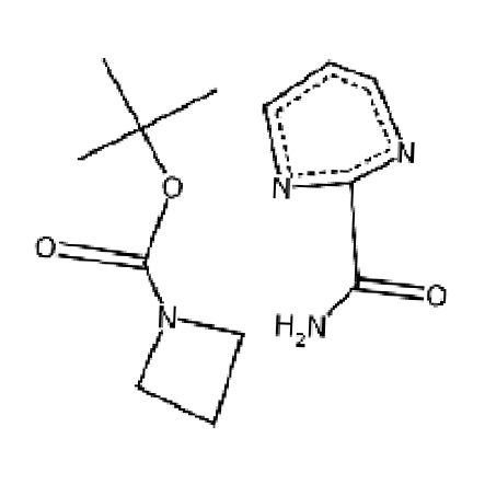 CC(C)(C)OC(=O)N1CCC1.NC(=O)c1ncccn1